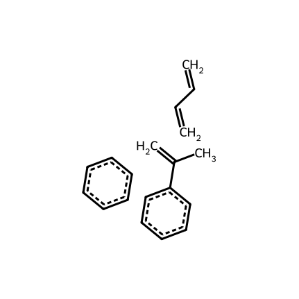 C=C(C)c1ccccc1.C=CC=C.c1ccccc1